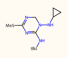 CSC1=NCN(NC2CC2)C(NC(C)(C)C)=N1